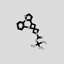 Cc1ccccc1-n1nccc1C1CC2(C1)CN(C(=O)OC(C)(C)C)C2